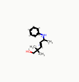 CC(/C=C/C(C)(C)CO)Nc1ccccc1